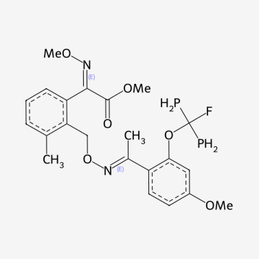 CO/N=C(/C(=O)OC)c1cccc(C)c1CO/N=C(\C)c1ccc(OC)cc1OC(F)(P)P